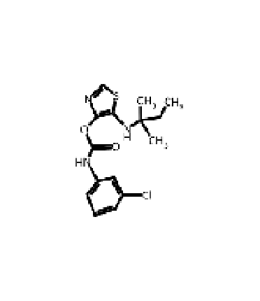 CCC(C)(C)Nc1scnc1OC(=O)Nc1cccc(Cl)c1